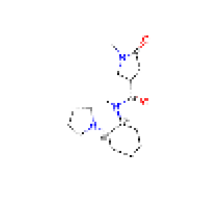 CN1CC(C(=O)N(C)[C@H]2CCCC[C@@H]2N2CCCC2)CC1=O